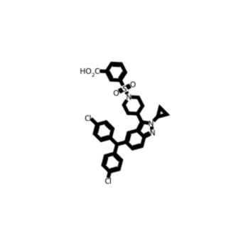 O=C(O)c1cccc(S(=O)(=O)N2CCC(c3c4cc(C(c5ccc(Cl)cc5)c5ccc(Cl)cc5)ccc4nn3C3CC3)CC2)c1